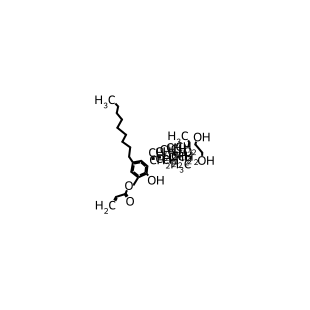 C=C.C=C.C=C.C=C.C=C.C=C.C=CC(=O)OCc1cc(CCCCCCCCC)ccc1O.CCOCC.OCCO